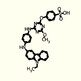 CCn1c2ccccc2c2cc(Nc3ccc(Nc4nc(OC)nc(Oc5ccc(S(=O)(=O)O)cc5)n4)cc3)ccc21